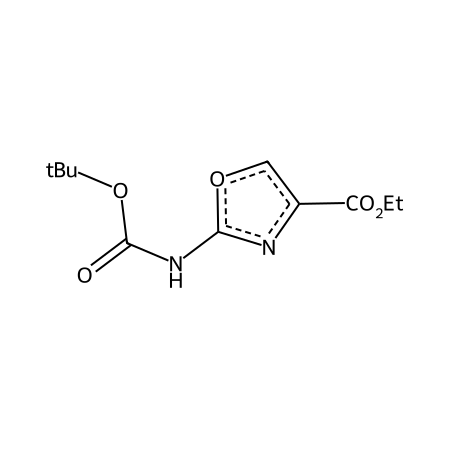 CCOC(=O)c1coc(NC(=O)OC(C)(C)C)n1